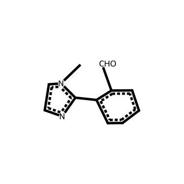 Cn1ccnc1-c1ccccc1C=O